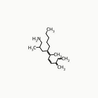 C=CC(=C)/C=C\C(C)=C(\CCCCC)CC(C)CN